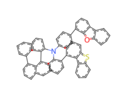 c1ccc(-c2cccc3cccc(-c4ccccc4N(c4ccc(-c5cccc6c5oc5ccccc56)cc4)c4ccccc4-c4cccc5sc6ccccc6c45)c23)cc1